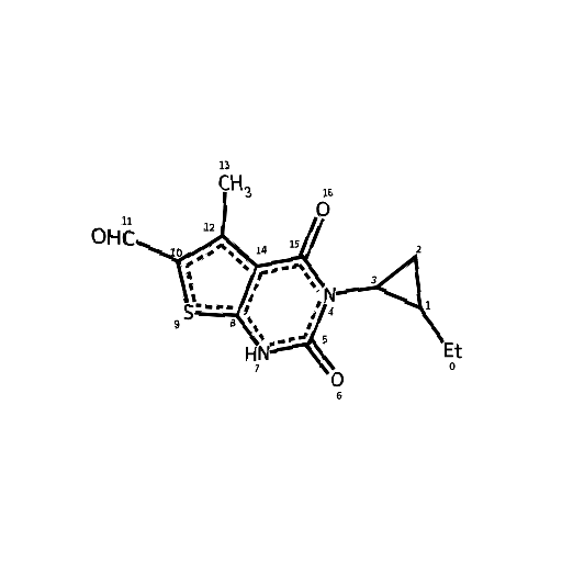 CCC1CC1n1c(=O)[nH]c2sc(C=O)c(C)c2c1=O